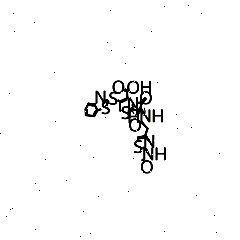 O=CNc1nc(CC(=O)N[C@@H]2C(=O)N3C(C(=O)O)=C(Sc4nc5ccccc5s4)CS[C@H]23)cs1